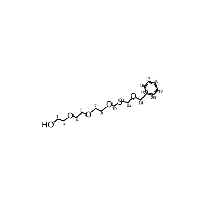 OCCOCCOCCOCSCOCc1ccccc1